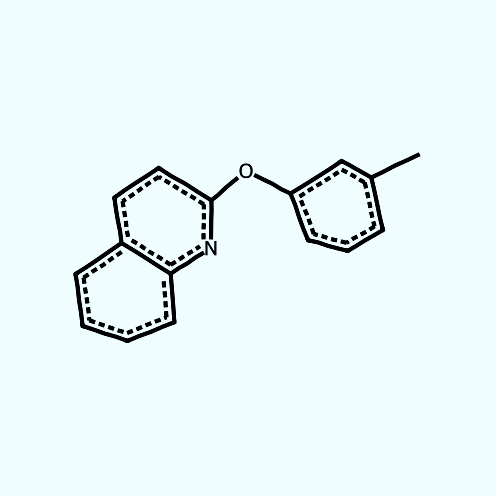 Cc1cccc(Oc2ccc3ccccc3n2)c1